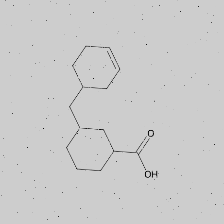 O=C(O)C1CCCC(CC2CC=CCC2)C1